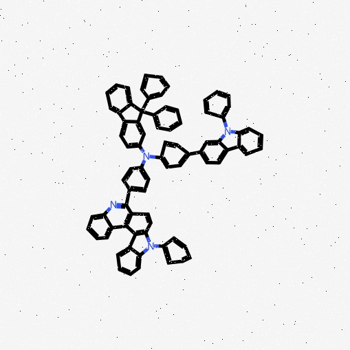 c1ccc(-n2c3ccccc3c3ccc(-c4ccc(N(c5ccc(-c6nc7ccccc7c7c6ccc6c7c7ccccc7n6-c6ccccc6)cc5)c5ccc6c(c5)C(c5ccccc5)(c5ccccc5)c5ccccc5-6)cc4)cc32)cc1